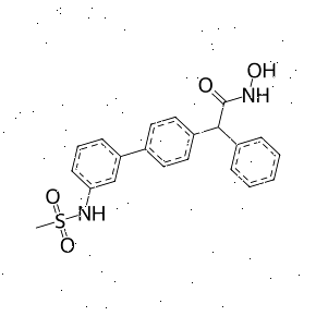 CS(=O)(=O)Nc1cccc(-c2ccc(C(C(=O)NO)c3ccccc3)cc2)c1